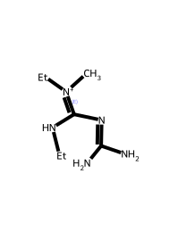 CCN/C(N=C(N)N)=[N+](/C)CC